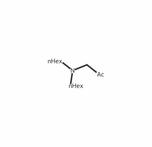 CCCCCCN(CCCCCC)CC(C)=O